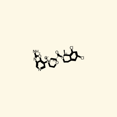 C[C@H]1c2c(Cl)cc(Cl)cc2CCN1C(=O)[C@H]1C[N@@+]([O-])(c2cncc3nc(N)oc23)CCO1